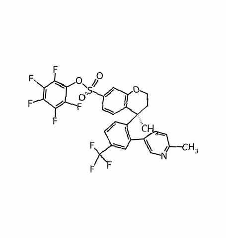 Cc1ccc(-c2cc(C(F)(F)F)ccc2[C@]2(C)CCOc3cc(S(=O)(=O)Oc4c(F)c(F)c(F)c(F)c4F)ccc32)cn1